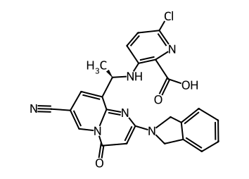 C[C@@H](Nc1ccc(Cl)nc1C(=O)O)c1cc(C#N)cn2c(=O)cc(N3Cc4ccccc4C3)nc12